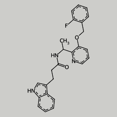 CC(NC(=O)CCc1c[nH]c2ccccc12)c1ncccc1OCc1ccccc1F